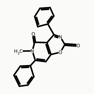 Cn1c(-c2ccccc2)cc2oc(=O)nc(-c3ccccc3)c2c1=O